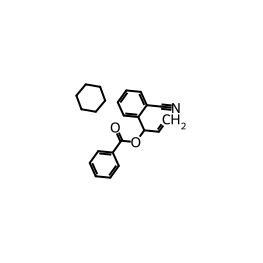 C1CCCCC1.C=CC(OC(=O)c1ccccc1)c1ccccc1C#N